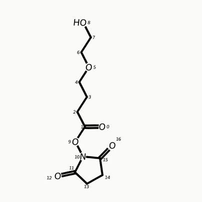 O=C(CCCOCCO)ON1C(=O)CCC1=O